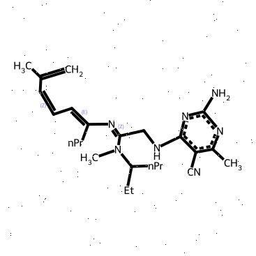 C=C(C)\C=C/C=C(CCC)/N=C(/CNc1nc(N)nc(C)c1C#N)N(C)C(CC)CCC